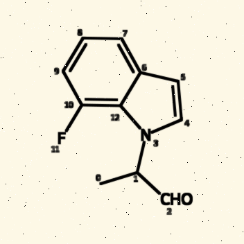 CC(C=O)n1ccc2cccc(F)c21